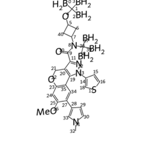 BC(B)(B)OC1CC(N(C(=O)c2nn(-c3ccsc3)c3c2COc2cc(OC)c(-c4ccn(C)c4)cc2-3)C(B)(B)B)C1